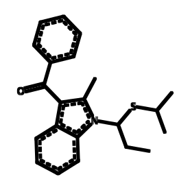 CCC(SC(C)C)n1c(C)c(C(=O)c2ccccc2)c2ccccc21